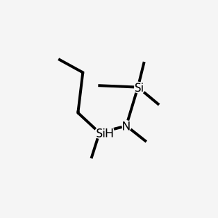 CCC[SiH](C)N(C)[Si](C)(C)C